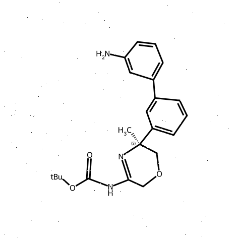 CC(C)(C)OC(=O)NC1=N[C@@](C)(c2cccc(-c3cccc(N)c3)c2)COC1